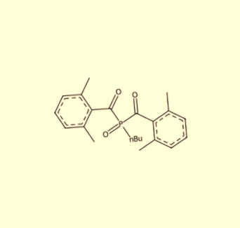 CCCCP(=O)(C(=O)c1c(C)cccc1C)C(=O)c1c(C)cccc1C